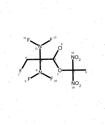 CC(OC(Cl)C(CF)(N(F)F)N(F)F)([N+](=O)[O-])[N+](=O)[O-]